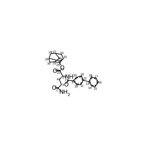 NC(=O)CC[C@H](NC(=O)c1ccc(-c2ccccc2)cc1)C(=O)OC1C2CC3CC(C2)CC1C3